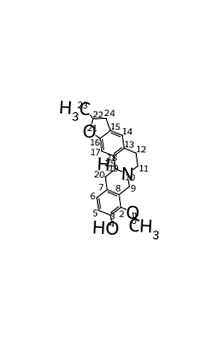 COc1c(O)ccc2c1CN1CCc3cc4c(cc3[C@@H]1C2)OC(C)C4